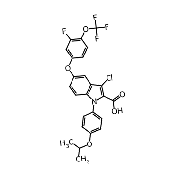 CC(C)Oc1ccc(-n2c(C(=O)O)c(Cl)c3cc(Oc4ccc(OC(F)(F)F)c(F)c4)ccc32)cc1